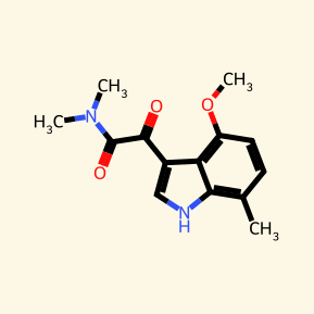 COc1ccc(C)c2[nH]cc(C(=O)C(=O)N(C)C)c12